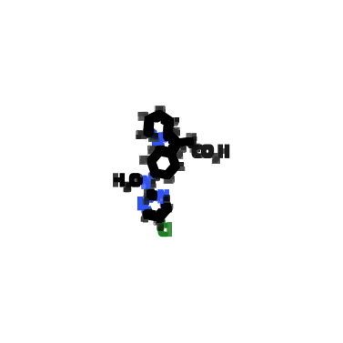 CN(c1ncc(Cl)cn1)C1CCc2c(CC(=O)O)c3ccccn3c2C1